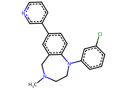 CN1CCN(c2cccc(Cl)c2)c2ccc(-c3cccnc3)cc2C1